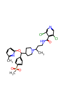 Cc1cccc(OC(c2ccc(S(C)(=O)=O)cc2)C2CCN(C(C)CCNC(=O)c3c(Cl)cncc3Cl)CC2)n1